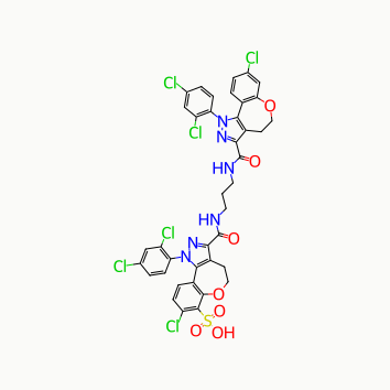 O=C(NCCCNC(=O)c1nn(-c2ccc(Cl)cc2Cl)c2c1CCOc1c-2ccc(Cl)c1S(=O)(=O)O)c1nn(-c2ccc(Cl)cc2Cl)c2c1CCOc1cc(Cl)ccc1-2